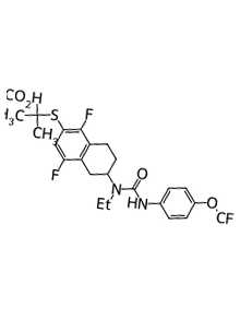 CCN(C(=O)Nc1ccc(OC(F)(F)F)cc1)C1CCc2c(F)c(SC(C)(C)C(=O)O)cc(F)c2C1